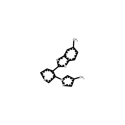 Cc1ccc2oc(-c3ccncc3-n3cc(C)cn3)nc2c1